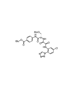 COC[C@H](NC(=O)C(=O)Nc1cc(Cl)ccc1-n1cnnn1)C(=O)Nc1ccc(C(=O)OC(C)(C)C)cc1